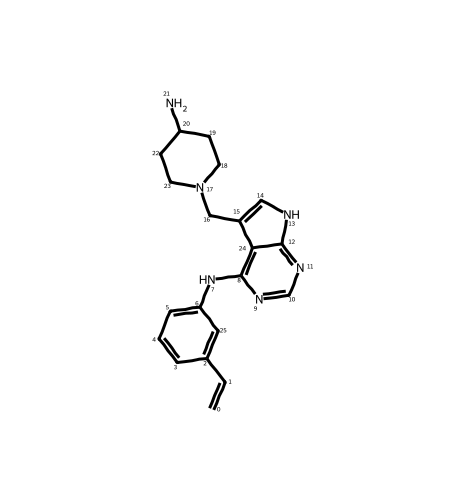 C=Cc1cccc(Nc2ncnc3[nH]cc(CN4CCC(N)CC4)c23)c1